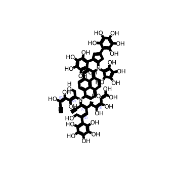 C#C/C(O)=C(O)\C(O)=C(/CO)N(/C(C#C)=C(/C=C(\CO)c1c(O)c(O)c(O)c(O)c1O)C(=C)/C(O)=C(/O)C(O)=C(O)O)c1ccc2ccc3c(N(C4=C(c5c(O)c(O)c(O)c(O)c5O)C=C(c5c(O)c(O)c(O)c(O)c5O)C4)C4=C(O)C(O)=C(O)C4O)ccc4ccc1c2c43